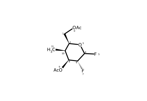 CC(=O)OC[C@H]1OC(F)[C@H](F)[C@@H](OC(C)=O)[C@H]1C